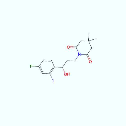 CC1(C)CC(=O)N(CCC(O)c2ccc(F)cc2I)C(=O)C1